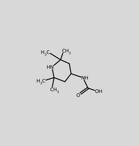 CC1(C)CC(NC(=O)O)CC(C)(C)N1